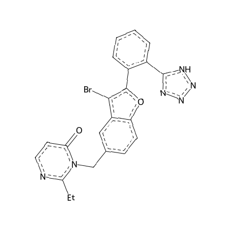 CCc1nccc(=O)n1Cc1ccc2oc(-c3ccccc3-c3nnn[nH]3)c(Br)c2c1